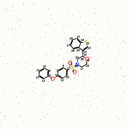 O=S(=O)(c1ccc(Oc2ccccc2)cc1)N1CCO[C@H](c2csc3ccccc23)C1